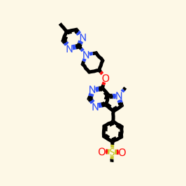 Cc1cnc(N2CCC(Oc3ncnc4c(-c5ccc(S(C)(=O)=O)cc5)cn(C)c34)CC2)nc1